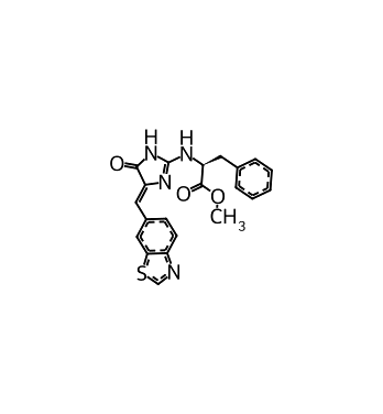 COC(=O)[C@H](Cc1ccccc1)NC1=N/C(=C\c2ccc3ncsc3c2)C(=O)N1